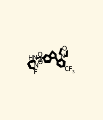 O=S(=O)(Nc1cccc(F)n1)c1ccc2c(c1)CCC2c1ccc(C(F)(F)F)cc1N1CCOCC1